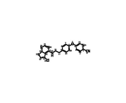 N#Cc1ncc(Oc2ccc(CCNc3ncnc4scc(Cl)c34)cc2)cn1